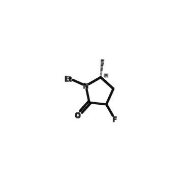 CCN1C(=O)C(F)C[C@H]1C